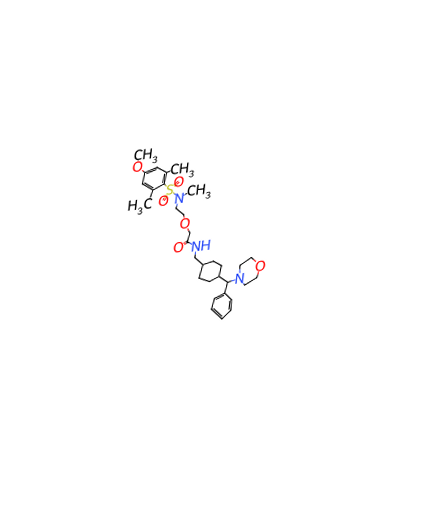 COc1cc(C)c(S(=O)(=O)N(C)CCOCC(=O)NCC2CCC(C(c3ccccc3)N3CCOCC3)CC2)c(C)c1